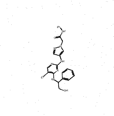 CC(C)NC(=O)Cn1cc(Nc2ncc(Cl)c(NC(CO)c3ccccc3)n2)cn1